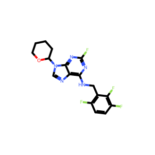 Fc1nc(NCc2c(F)ccc(F)c2F)c2ncn(C3CCCCO3)c2n1